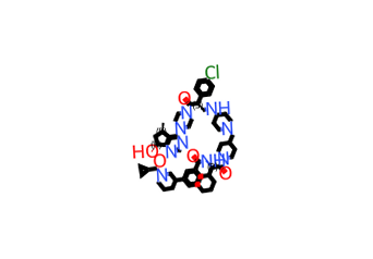 C[C@@H]1C[C@@H](O)c2ncnc(N3CCN(C(=O)[C@H](CNC4CCN(CC5CCN(C(=O)[C@H](NC(=O)c6cccc(C7CCCN(C(=O)C8CC8)C7)c6)C6CCCCC6)CC5)CC4)c4ccc(Cl)cc4)CC3)c21